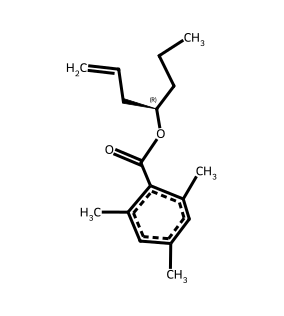 C=CC[C@@H](CCC)OC(=O)c1c(C)cc(C)cc1C